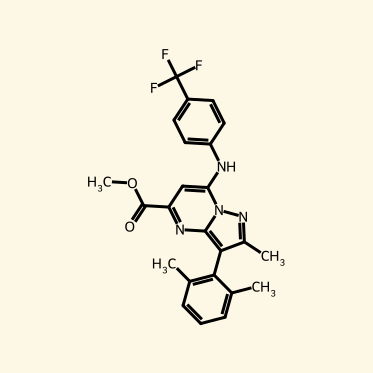 COC(=O)c1cc(Nc2ccc(C(F)(F)F)cc2)n2nc(C)c(-c3c(C)cccc3C)c2n1